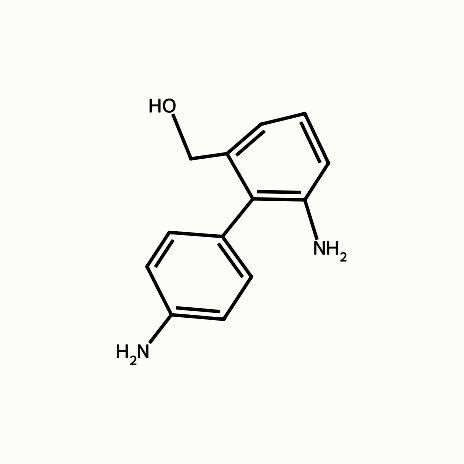 Nc1ccc(-c2c(N)cccc2CO)cc1